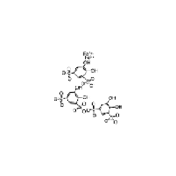 O=S(=O)([O-])c1cc(O)c(O)c(S(=O)(=O)[O-])c1.O=S(=O)([O-])c1cc(O)c(O)c(S(=O)(=O)[O-])c1.O=S(=O)([O-])c1cc(O)c(O)c(S(=O)(=O)[O-])c1.[Fe+3].[Fe+3]